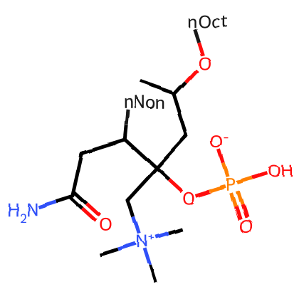 CCCCCCCCCC(CC(N)=O)C(CC(C)OCCCCCCCC)(C[N+](C)(C)C)OP(=O)([O-])O